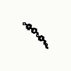 CCON=Cc1ccc(OCC2CCN(c3ccc(Cl)nn3)CC2)cc1